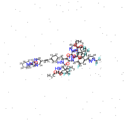 COC(=O)N[C@H](C(=O)N[C@@H](Cc1ccc(C#Cc2cnc(N3CC4CCC(C3)N4C3COC3)nc2)cc1)[C@H](CN(Cc1c(F)cc(-c2ccn(C(F)F)n2)cc1F)NC(=O)[C@@H](NC(=O)OC)C(C)(C)C(F)(F)F)OC(=O)c1ccccn1)C(C)(C)C(F)(F)F